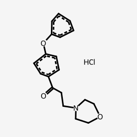 Cl.O=C(CCN1CCOCC1)c1ccc(Oc2ccccc2)cc1